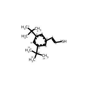 CC(C)(C)c1cc(C=CS)cc(C(C)(C)C)c1